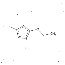 CCOc1cc(I)cs1